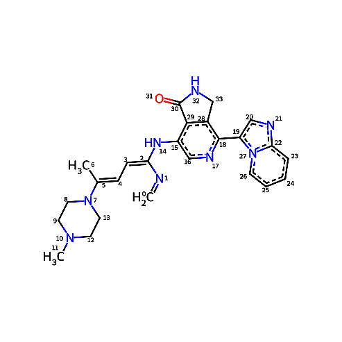 C=N/C(=C\C=C(/C)N1CCN(C)CC1)Nc1cnc(-c2cnc3ccccn23)c2c1C(=O)NC2